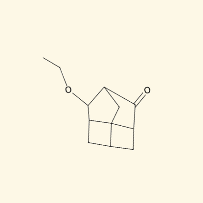 CCOC1C2CC34C(CC3C2=O)CC14